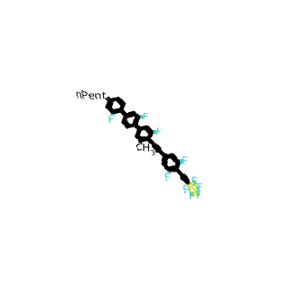 CCCCCc1ccc(-c2ccc(-c3cc(C)c(C#Cc4cc(F)c(C#CS(F)(F)(F)(F)F)c(F)c4)c(F)c3)c(F)c2)c(F)c1